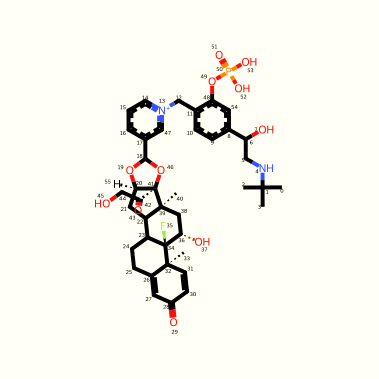 CC(C)(C)NCC(O)c1ccc(C[n+]2cccc(C3O[C@@H]4CC5C6CCC7=CC(=O)C=C[C@]7(C)[C@@]6(F)[C@@H](O)C[C@]5(C)[C@]4(C(=O)CO)O3)c2)c(OP(=O)(O)O)c1